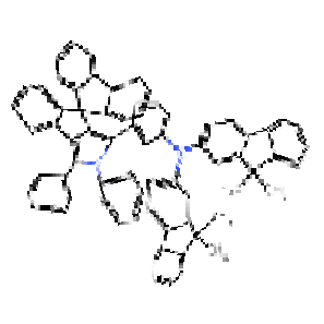 CC1(C)c2ccccc2-c2ccc(N(c3cccc(-c4c5c(c(-c6ccccc6)n4-c4ccccc4)-c4ccccc4C54c5ccccc5-c5ccccc54)c3)c3ccc4c(c3)C(C)(C)c3ccccc3-4)cc21